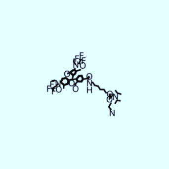 CCN(C(=O)C(F)(F)F)c1cc2c(cc1C)C1(OC(=O)c3cc(C(=O)NCCCCCCOP(OCCC#N)N(C(C)C)C(C)C)ccc31)c1cc(C)c(N(CC)C(=O)C(F)(F)F)cc1O2